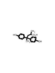 CC(CC(C)(c1ccc(O)cc1)c1ccc(O)cc1)C(=O)O